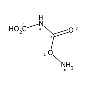 NOC(=O)NC(=O)O